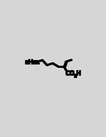 CC=C(CCCCCCCCCC)C(=O)O